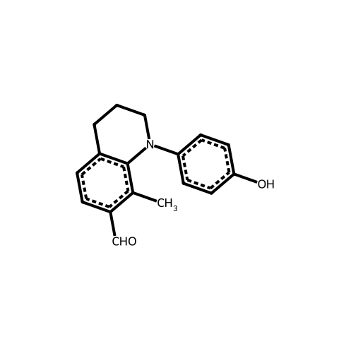 Cc1c(C=O)ccc2c1N(c1ccc(O)cc1)CCC2